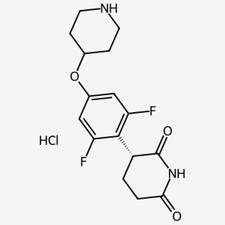 Cl.O=C1CC[C@H](c2c(F)cc(OC3CCNCC3)cc2F)C(=O)N1